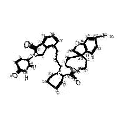 O=C1CCC(N2Cc3c(CCCN4CCCCC4C(=O)N4CCC5(CC4)COc4cc(F)ccc45)cccc3C2=O)C(=O)N1